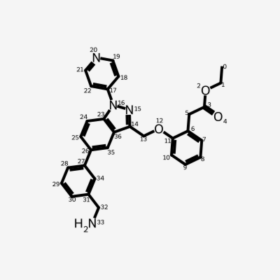 CCOC(=O)Cc1ccccc1OCc1nn(-c2ccncc2)c2ccc(-c3cccc(CN)c3)cc12